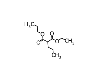 CCCOC(=O)C(CCC)C(=O)OCC